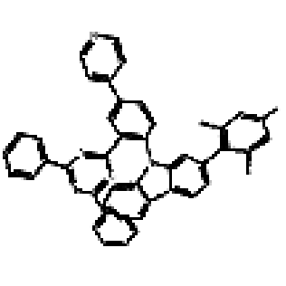 Cc1cc(C)c(-c2ccc3c4ccccc4n(-c4ccc(-c5ccncc5)cc4-c4nc(-c5ccccc5)nc(-c5ccccc5)n4)c3c2)c(C)c1